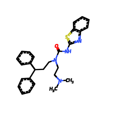 CN(C)CCN(CCC(c1ccccc1)c1ccccc1)C(=O)Nc1nc2ccccc2s1